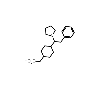 O=C(O)CC1CCC(C(Cc2ccccc2)N2CCCC2)CC1